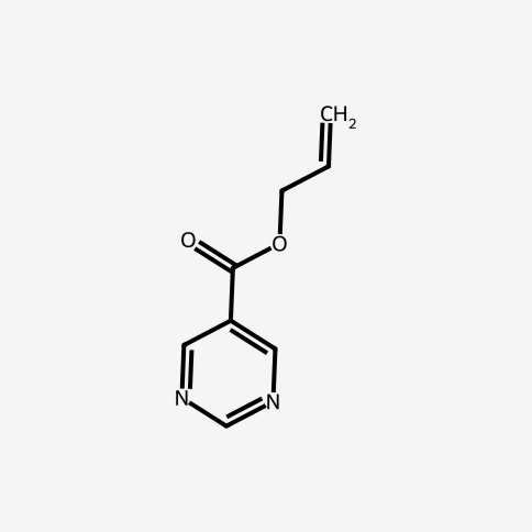 C=CCOC(=O)c1cncnc1